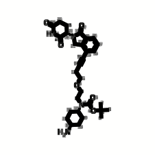 CC(C)(C)OC(=O)N(CCOCCC#Cc1cccc2c1CN([C@H]1CCC(=O)NC1=O)C2=O)[C@H]1CC[C@H](N)CC1